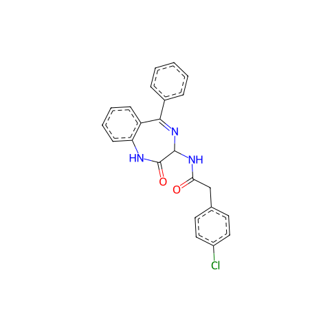 O=C(Cc1ccc(Cl)cc1)NC1N=C(c2ccccc2)c2ccccc2NC1=O